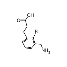 NCc1cccc(CCC(=O)O)c1Br